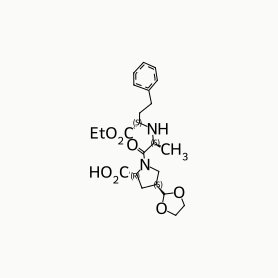 CCOC(=O)[C@H](CCc1ccccc1)N[C@@H](C)C(=O)N1C[C@@H](C2OCCO2)C[C@@H]1C(=O)O